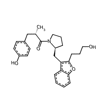 C[C@@H](Cc1ccc(O)cc1)C(=O)N1CCC[C@H]1Cc1c(CCCO)oc2ccccc12